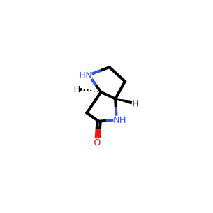 O=C1C[C@H]2NCC[C@@H]2N1